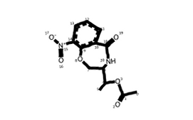 CC(=O)OC(C)C1COc2c(cccc2[N+](=O)[O-])C(=O)N1